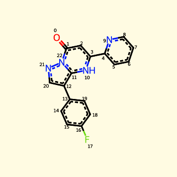 O=c1cc(-c2ccccn2)[nH]c2c(-c3ccc(F)cc3)cnn12